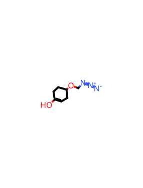 [N-]=[N+]=NCOC1CC=C(O)CC1